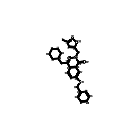 Cc1cc(Cn2nc(CC3CCCCC3)c3ccc(SCc4ccccc4)cc3c2=O)on1